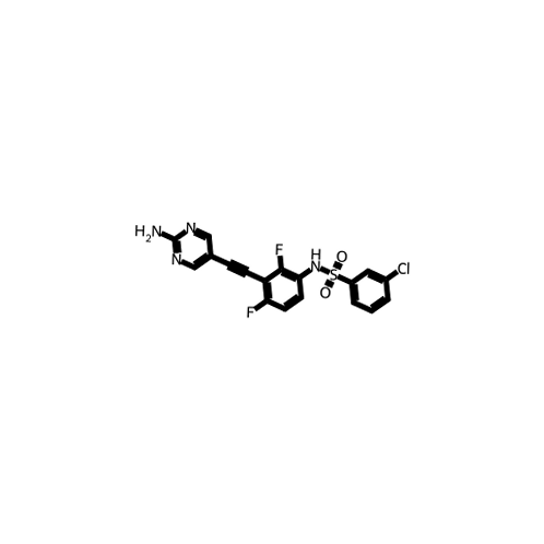 Nc1ncc(C#Cc2c(F)ccc(NS(=O)(=O)c3cccc(Cl)c3)c2F)cn1